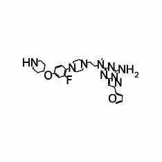 CN(CCN1CCN(c2ccc(OC3CCNCC3)cc2F)CC1)c1nc(N)n2nc(-c3ccco3)cc2n1